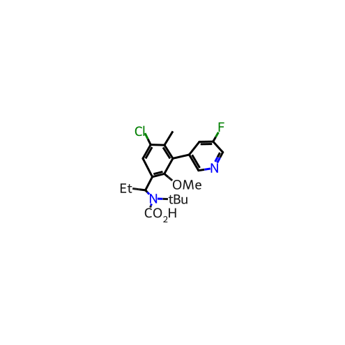 CCC(c1cc(Cl)c(C)c(-c2cncc(F)c2)c1OC)N(C(=O)O)C(C)(C)C